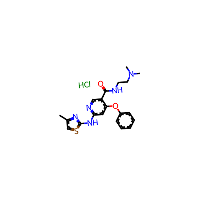 Cc1csc(Nc2cc(Oc3ccccc3)c(C(=O)NCCN(C)C)cn2)n1.Cl